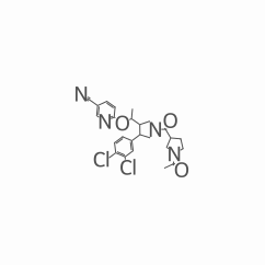 CC(=O)N1CCC(C(=O)N2CC(c3ccc(Cl)c(Cl)c3)C(C(C)Oc3ccc(C#N)cn3)C2)C1